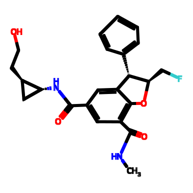 CNC(=O)c1cc(C(=O)N[C@@H]2C[C@H]2CCO)cc2c1O[C@H](CF)[C@H]2c1ccccc1